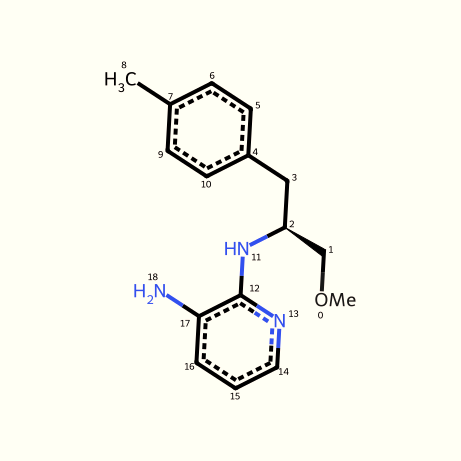 COC[C@H](Cc1ccc(C)cc1)Nc1ncccc1N